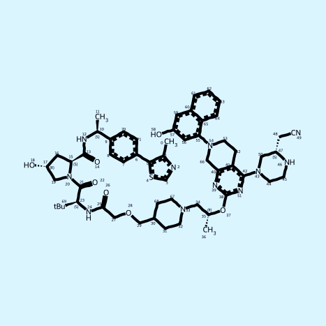 Cc1ncsc1-c1ccc([C@H](C)NC(=O)[C@@H]2C[C@@H](O)CN2C(=O)[C@@H](NC(=O)COCC2CCN(C[C@@H](C)Oc3nc4c(c(N5CCN[C@@H](CC#N)C5)n3)CCN(c3cc(O)cc5ccccc35)C4)CC2)C(C)(C)C)cc1